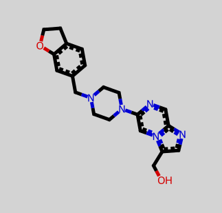 OCc1cnc2cnc(N3CCN(Cc4ccc5c(c4)OCC5)CC3)cn12